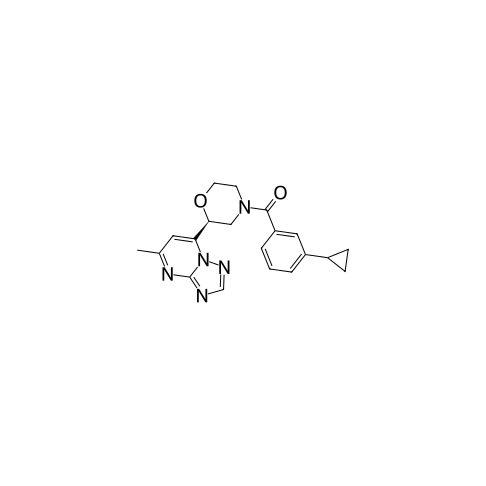 Cc1cc([C@@H]2CN(C(=O)c3cccc(C4CC4)c3)CCO2)n2ncnc2n1